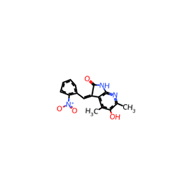 Cc1nc2c(c(C)c1O)C(=Cc1ccccc1[N+](=O)[O-])C(=O)N2